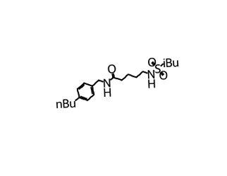 CCCCc1ccc(CNC(=O)CCCCNS(=O)(=O)C(C)CC)cc1